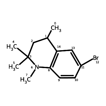 CC1CC(C)(C)N(C)c2ccc(Br)cc21